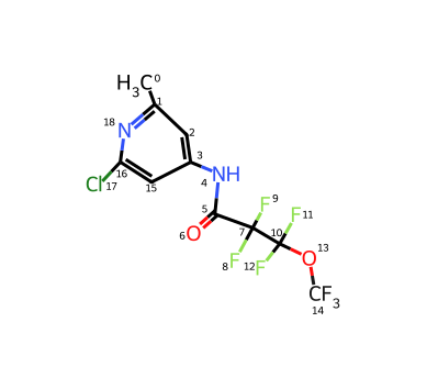 Cc1cc(NC(=O)C(F)(F)C(F)(F)OC(F)(F)F)cc(Cl)n1